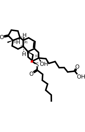 CCCCCCC(=O)SCC[C@]12CC[C@@](O)(CCCCCCC(=O)O)CC1=CC[C@@H]1[C@@H]2CC[C@]2(C)C(=O)CC[C@@H]12